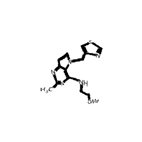 COCCNc1nc(C)nc2ccn(Cc3cscn3)c12